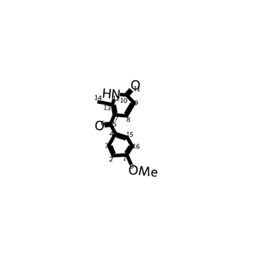 COc1ccc(C(=O)c2ccc(=O)[nH]c2C)cc1